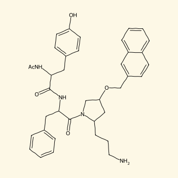 CC(=O)NC(Cc1ccc(O)cc1)C(=O)NC(Cc1ccccc1)C(=O)N1CC(OCc2ccc3ccccc3c2)CC1CCCN